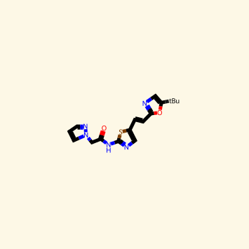 CC(C)(C)c1cnc(C=Cc2cnc(NC(=O)Cn3cccn3)s2)o1